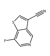 N#Cc1csc2c(F)cncc12